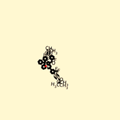 CCN(C)S(=O)(=O)Nc1ccc(F)c(C(=O)c2cn(C(c3ccccc3)(c3ccccc3)c3ccccc3)c3ncc(-c4ccc(N5CCN(C(=O)OC(C)(C)C)CC5)c(C(F)(F)F)c4)cc23)c1F